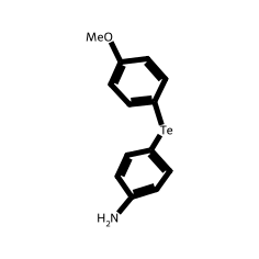 COc1ccc([Te]c2ccc(N)cc2)cc1